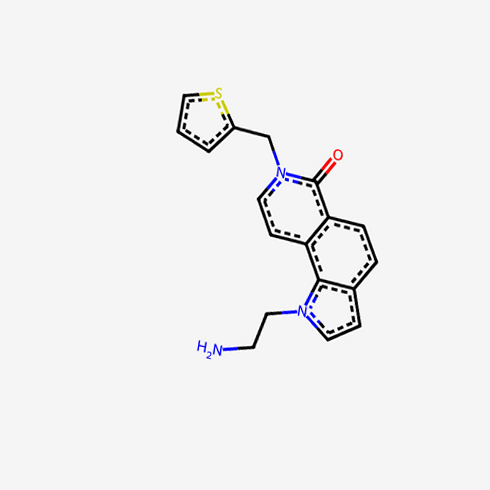 NCCn1ccc2ccc3c(=O)n(Cc4cccs4)ccc3c21